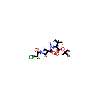 CC(C)C(C(=O)OC(C)(C)C)N(C)C(=O)C1CN(C(=O)CCl)C1